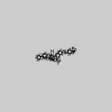 CN(C)C(=O)N1Cc2cc(OCc3ccc(C(F)(F)F)cc3)ccc2C[C@H]1C(=O)N[C@@H](Cc1ccc(-c2ccccc2)cc1)C(=O)O